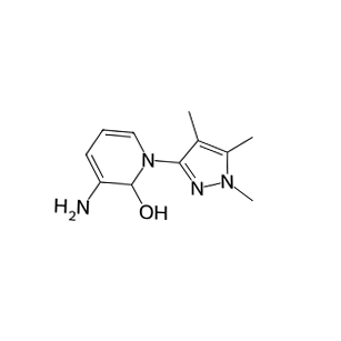 Cc1c(N2C=CC=C(N)C2O)nn(C)c1C